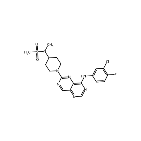 CN(C1CCN(c2ncc3ncnc(Nc4ccc(F)c(Cl)c4)c3n2)CC1)S(C)(=O)=O